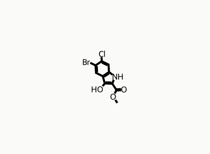 COC(=O)c1[nH]c2cc(Cl)c(Br)cc2c1O